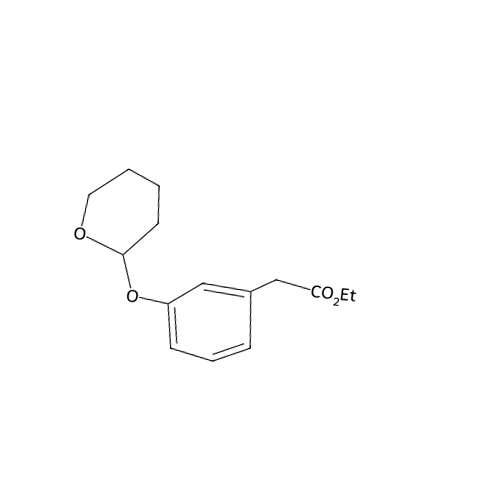 CCOC(=O)Cc1cccc(OC2CCCCO2)c1